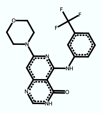 O=c1[nH]cnc2cc(N3CCOCC3)nc(Nc3cccc(C(F)(F)F)c3)c12